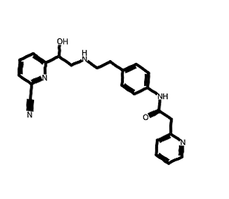 N#Cc1cccc(C(O)CNCCc2ccc(NC(=O)Cc3ccccn3)cc2)n1